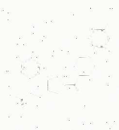 O=C(O)NC[C@H]1CN(C(=O)C2CCN(c3ncc(Cl)cn3)CC2)C[C@H]1c1ccc(Cl)cc1